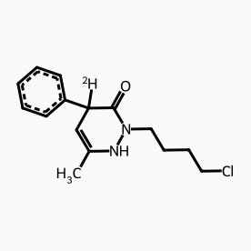 [2H]C1(c2ccccc2)C=C(C)NN(CCCCCl)C1=O